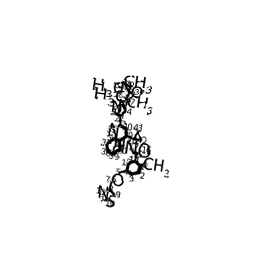 Cc1ccc(COCc2cscn2)cc1C(=O)NC1(c2cc(-c3cnn(C(C)(C)C(=O)N(C)C)c3)nc3ccccc23)CC1